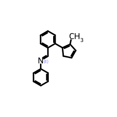 CC1=C(c2ccccc2/C=N/c2ccccc2)CC=C1